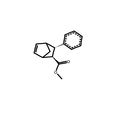 COC(=O)[C@H]1C2C=CC(C2)[C@@H]1c1ccccc1